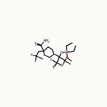 CC[Si](CC)(CC)OC(C1CCC(CC(F)(F)F)(C(N)=O)CC1)(C(F)(F)F)C(F)(F)F